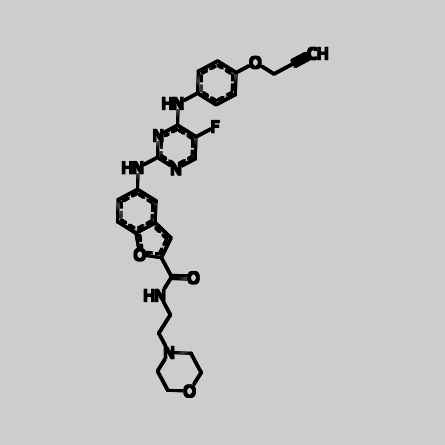 C#CCOc1ccc(Nc2nc(Nc3ccc4oc(C(=O)NCCN5CCOCC5)cc4c3)ncc2F)cc1